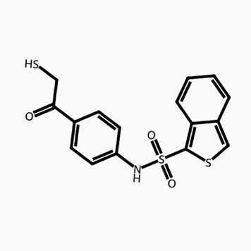 O=C(CS)c1ccc(NS(=O)(=O)c2scc3ccccc23)cc1